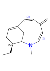 C=C1/C=C\C2=CC[C@H](CC)C(C2)N(C)/C=C\1